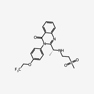 C[C@@H](NCCS(C)(=O)=O)c1nc2ccccc2c(=O)n1-c1ccc(OCC(F)(F)F)cc1